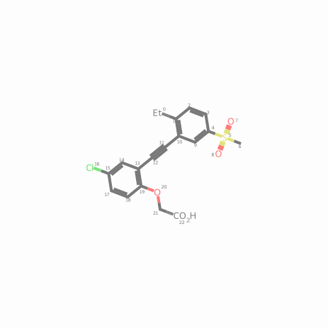 CCc1ccc(S(C)(=O)=O)cc1C#Cc1cc(Cl)ccc1OCC(=O)O